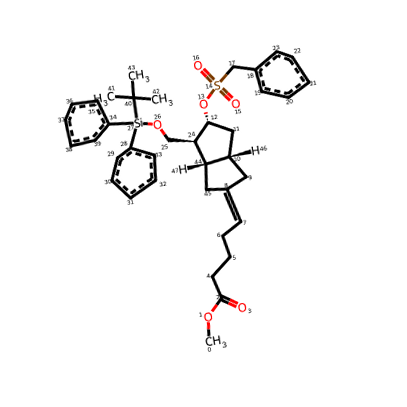 COC(=O)CCC/C=C1/C[C@H]2C[C@@H](OS(=O)(=O)Cc3ccccc3)[C@H](CO[Si](c3ccccc3)(c3ccccc3)C(C)(C)C)[C@H]2C1